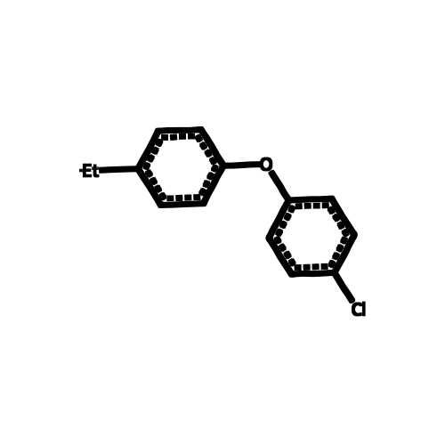 C[CH]c1ccc(Oc2ccc(Cl)cc2)cc1